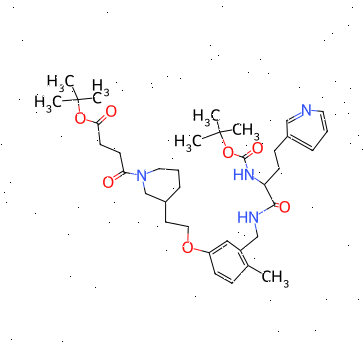 Cc1ccc(OCCC2CCCN(C(=O)CCC(=O)OC(C)(C)C)C2)cc1CNC(=O)C(CCc1cccnc1)NC(=O)OC(C)(C)C